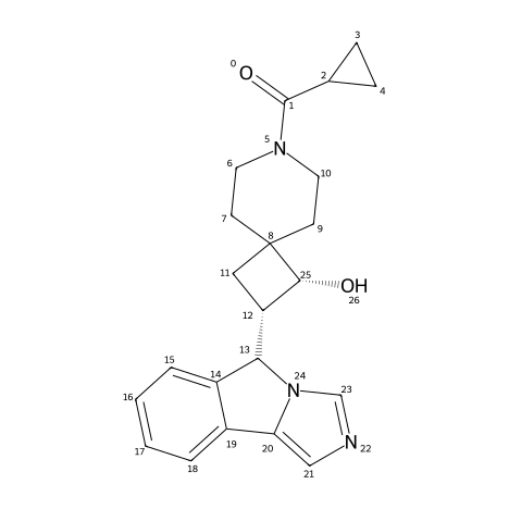 O=C(C1CC1)N1CCC2(CC1)C[C@@H](C1c3ccccc3-c3cncn31)[C@H]2O